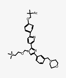 CC(=O)C(C)(C)COc1ccc(-c2ccc(-c3nc(-c4cccc(CN5CCOCC5)c4)cn3COCC[Si](C)(C)C)cn2)cc1